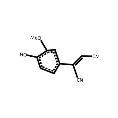 COc1cc(C(C#N)=CC#N)ccc1O